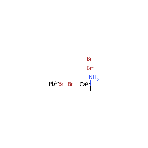 CN.[Br-].[Br-].[Br-].[Br-].[Ca+2].[Pb+2]